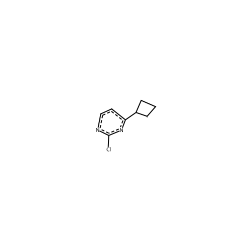 Clc1nccc(C2[CH]CC2)n1